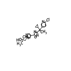 CC(C)(O)Cn1cc(-c2nc([C@@](C)(c3ccc(Cl)nc3)C3CC3)no2)cn1